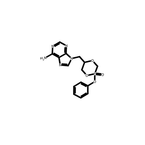 Nc1ncnc2c1ncn2CC1COP(=O)(Oc2ccccc2)CO1